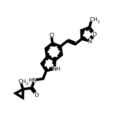 Cc1cc(C=Cc2cc3[nH]c(CNC(=O)C4(C)CC4)cc3cc2Cl)no1